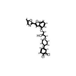 Cc1cnc(-c2cc3c(OCC(O)CN4CCC(c5ccc(Cl)c(Cl)c5)CC4)cccc3o2)o1